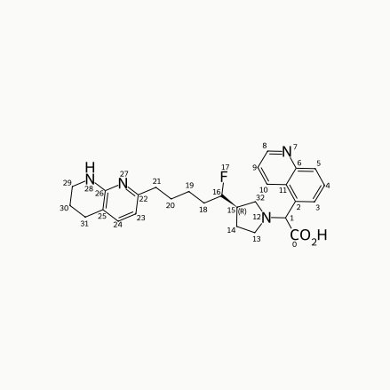 O=C(O)C(c1cccc2ncccc12)N1CC[C@@H](C(F)CCCCc2ccc3c(n2)NCCC3)C1